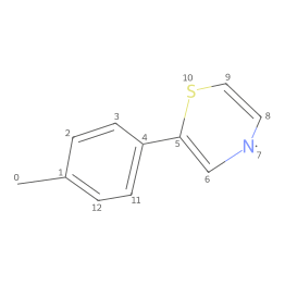 Cc1ccc(C2=C[N]C=CS2)cc1